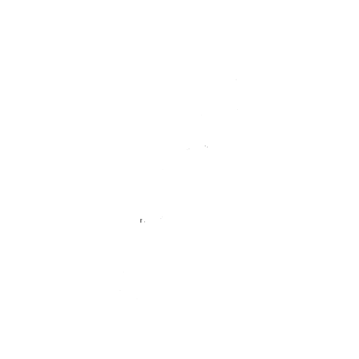 CCCC1(CCC)c2ccccc2-c2cc(NC(=O)c3ccc(C(=O)Nc4cc5c(cc4O)C(CCC)(CCC)c4ccccc4-5)c(C)c3)c(O)cc21